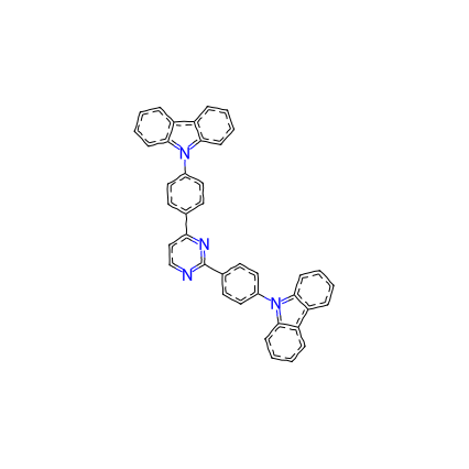 c1ccc2c(c1)c1ccccc1n2-c1ccc(-c2ccnc(-c3ccc(-n4c5ccccc5c5ccccc54)cc3)n2)cc1